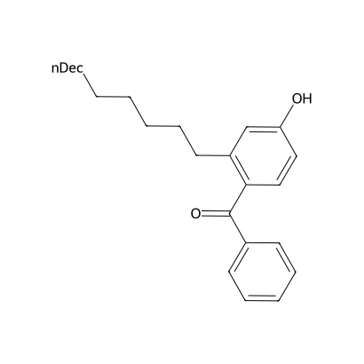 CCCCCCCCCCCCCCCc1cc(O)ccc1C(=O)c1ccccc1